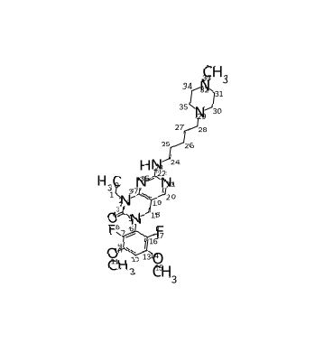 CCN1C(=O)N(c2c(F)c(OC)cc(OC)c2F)Cc2cnc(NCCCCCN3CCN(C)CC3)nc21